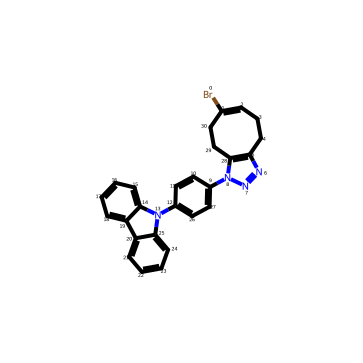 Br/C1=C/CCc2nnn(-c3ccc(-n4c5ccccc5c5ccccc54)cc3)c2CC1